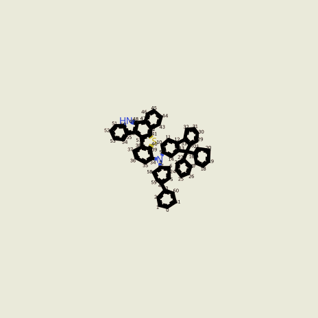 c1ccc(-c2ccc(N(c3ccc4c(c3)C(c3ccccc3)(c3ccccc3)c3ccccc3-4)c3cccc4c3sc3c5ccccc5c5[nH]c6ccccc6c5c43)cc2)cc1